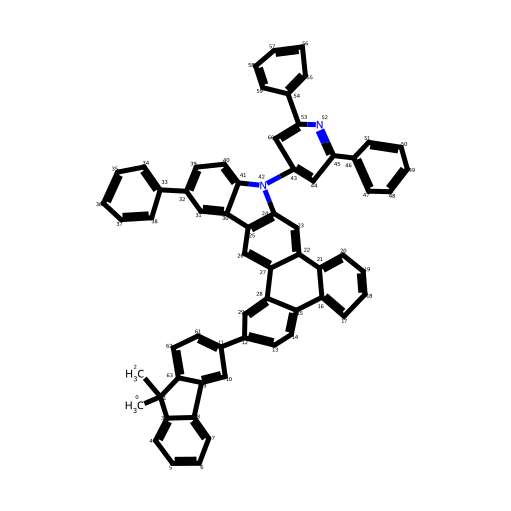 CC1(C)c2ccccc2-c2cc(-c3ccc4c5ccccc5c5cc6c(cc5c4c3)c3cc(-c4ccccc4)ccc3n6-c3cc(-c4ccccc4)nc(-c4ccccc4)c3)ccc21